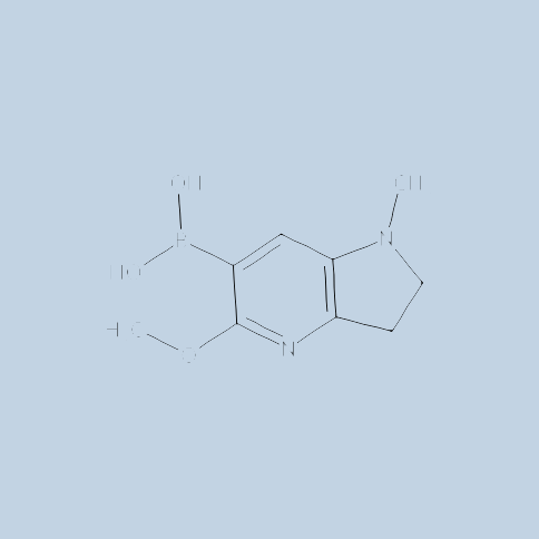 COc1nc2c(cc1B(O)O)N(C)CC2